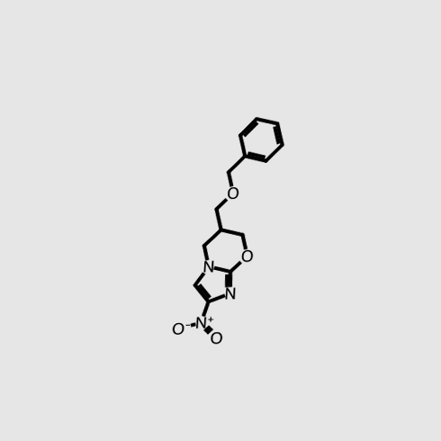 O=[N+]([O-])c1cn2c(n1)OCC(COCc1ccccc1)C2